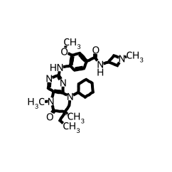 CC[C@@]1(C)CN(C2CCCCC2)c2nc(Nc3ccc(C(=O)NC4CN(C)C4)cc3OC)ncc2N(C)C1=O